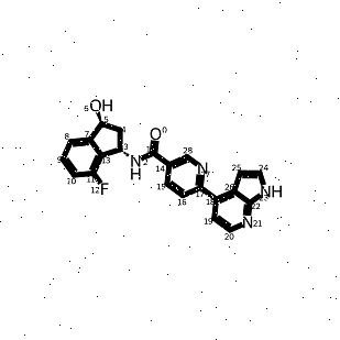 O=C(N[C@H]1C[C@H](O)c2cccc(F)c21)c1ccc(-c2ccnc3[nH]ccc23)nc1